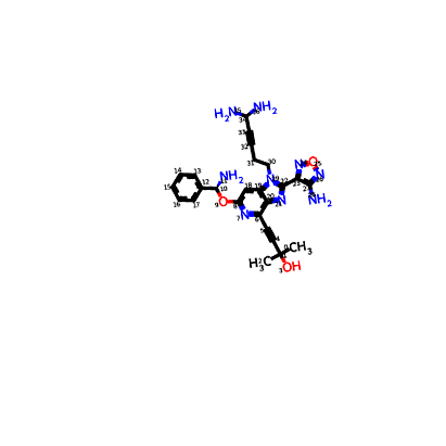 CC(C)(O)C#Cc1nc(O[C@H](N)c2ccccc2)cc2c1nc(-c1nonc1N)n2CCC#CC(N)N